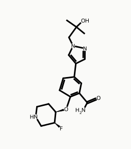 CC(C)(O)Cn1cc(-c2ccc(O[C@@H]3CCNC[C@@H]3F)c(C(N)=O)c2)cn1